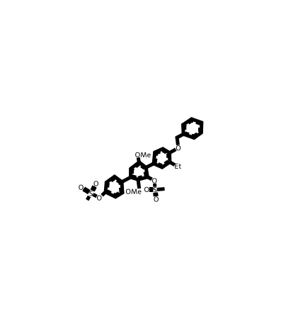 CCc1cc(-c2c(OC)cc(-c3ccc(OS(C)(=O)=O)cc3)c(OC)c2OS(C)(=O)=O)ccc1OCc1ccccc1